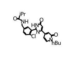 CCCCn1ccc(-c2cc(=O)[nH]c(-c3cc(CNC(=O)C(C)C)ccc3Cl)n2)cc1=O